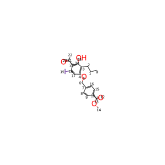 CCCc1c(OCc2ccc(C(=O)OC)cc2)cc(I)c(C(C)=O)c1O